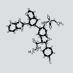 CCS(=O)(=O)Nc1cc2oc(-c3ccc(F)cc3)c(C(=O)NC)c2cc1-c1cc(-c2nc3ncccc3o2)c2occc2c1